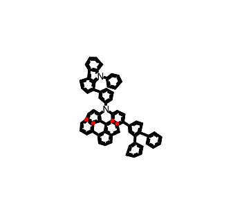 c1ccc(-c2ccc(-c3ccc(N(c4cccc(-c5cccc6c7ccccc7n(-c7ccccc7)c56)c4)c4ccccc4-c4cccc5cccc(-c6ccccc6)c45)cc3)cc2-c2ccccc2)cc1